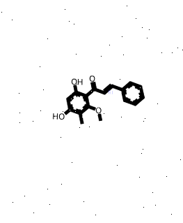 COc1c(C)c(O)cc(O)c1C(=O)/C=C/c1ccccc1